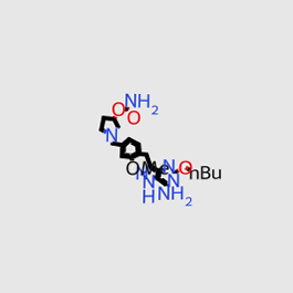 CCCCOc1nc(N)c2[nH]nc(Cc3ccc(CN4CCC(OC(N)=O)C4)cc3OC)c2n1